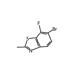 Cc1nc2ccc(Br)c(F)c2s1